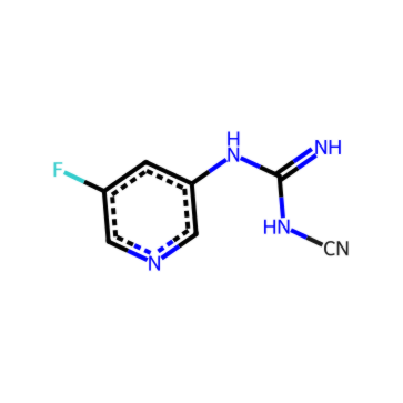 N#CNC(=N)Nc1cncc(F)c1